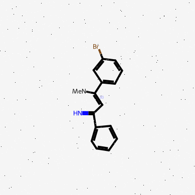 CN/C(=C\C(=N)c1ccccc1)c1cccc(Br)c1